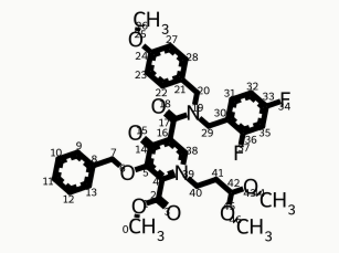 COC(=O)c1c(OCc2ccccc2)c(=O)c(C(=O)N(Cc2ccc(OC)cc2)Cc2ccc(F)cc2F)cn1CCC(OC)OC